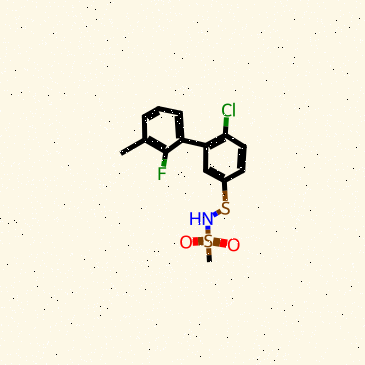 Cc1cccc(-c2cc(SNS(C)(=O)=O)ccc2Cl)c1F